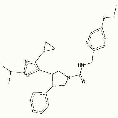 CCSc1ccc(CNC(=O)N2CC(c3ccccc3)C(c3nn(C(C)C)nc3C3CC3)C2)nc1